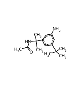 CC(=O)NC(C)(C)c1cc(N)cc(C(C)(C)C)c1